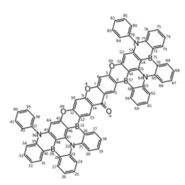 O=c1c2cc3c(cc2oc2cc4c(cc12)B1c2ccccc2N2c5ccccc5B5c6ccccc6N(c6ccccc6)c6cc(c1c2c65)O4)Oc1cc2c4c5c1B3c1ccccc1N5c1ccccc1B4c1ccccc1N2c1ccccc1